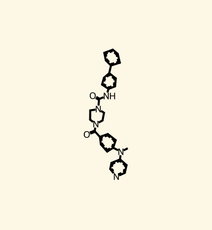 CN(c1ccncc1)c1ccc(C(=O)N2CCN(C(=O)Nc3ccc(-c4ccccc4)cc3)CC2)cc1